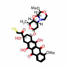 COc1cccc2c1C(=O)c1c(O)c3c(c(O)c1C2=O)C[C@@](O)(C(=O)CS)C[C@@H]3O[C@H]1C[C@H]2[C@H](O[C@@H]3[C@@H](OC)OCCN32)[C@H](C)O1